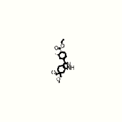 CCOC(=O)[C@@H]1CC=C(c2n[nH]c3c2CCC(C=O)(COC)C3)C[C@@H]1C